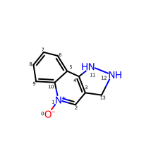 [O-][n+]1cc2c(c3ccccc31)NNC2